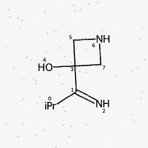 CC(C)C(=N)C1(O)CNC1